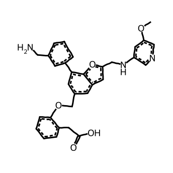 COc1cncc(NCc2cc3cc(COc4ccccc4CC(=O)O)cc(-c4cccc(CN)c4)c3o2)c1